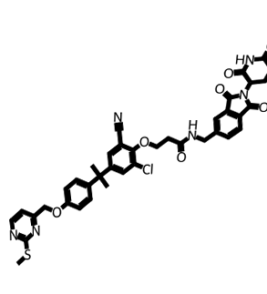 CSc1nccc(COc2ccc(C(C)(C)c3cc(Cl)c(OCCC(=O)NCc4ccc5c(c4)C(=O)N(C4CCC(=O)NC4=O)C5=O)c(C#N)c3)cc2)n1